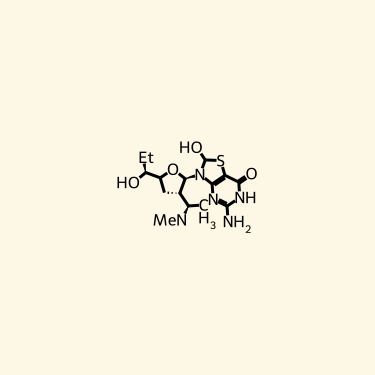 CC[C@H](O)C1C[C@@H]([C@@H](C)NC)[C@H](N2c3nc(N)[nH]c(=O)c3SC2O)O1